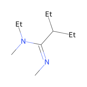 CCC(CC)/C(=N/C)N(C)CC